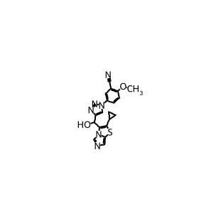 COc1ccc(-n2cc(C(O)c3c(C4CC4)sc4cncn34)nn2)cc1C#N